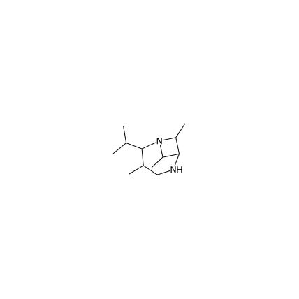 CC(C)C1C(C)CNC2C(C)N1C2C